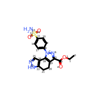 CCOC(=O)c1nn(-c2ccc(S(N)(=O)=O)cc2)c2c1CCc1[nH]ncc1-2